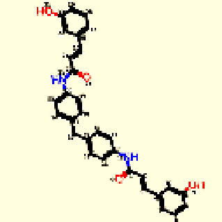 O=C(/C=C/c1cccc(O)c1)Nc1ccc(Cc2ccc(NC(=O)/C=C/c3cccc(O)c3)cc2)cc1